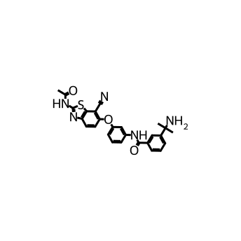 CC(=O)Nc1nc2ccc(Oc3cccc(NC(=O)c4cccc(C(C)(C)N)c4)c3)c(C#N)c2s1